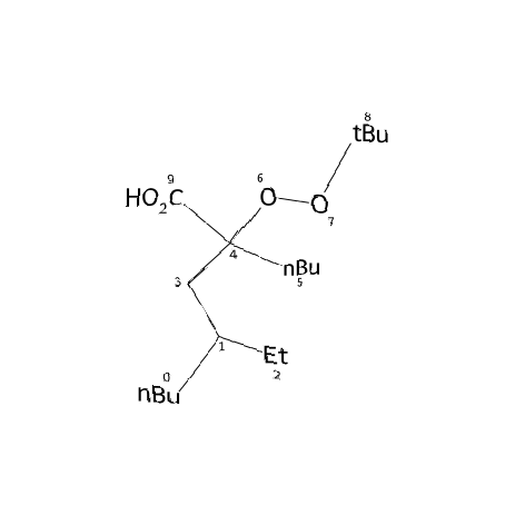 CCCCC(CC)CC(CCCC)(OOC(C)(C)C)C(=O)O